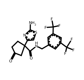 Nc1nc(C2(C(=O)NCc3cc(C(F)(F)F)cc(C(F)(F)F)c3)CCC(=O)C2)cs1